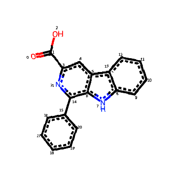 O=C(O)c1cc2c([nH]c3ccccc32)c(-c2ccccc2)n1